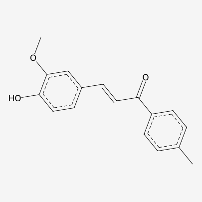 COc1cc(C=CC(=O)c2ccc(C)cc2)ccc1O